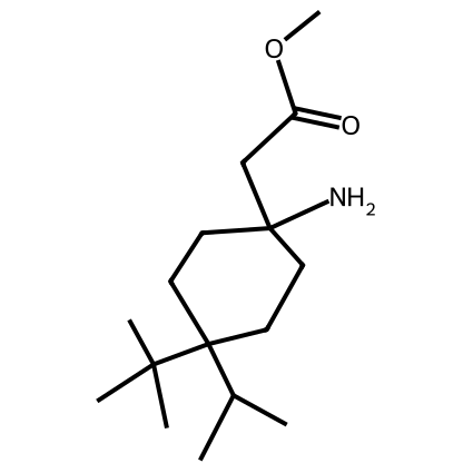 COC(=O)CC1(N)CCC(C(C)C)(C(C)(C)C)CC1